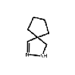 C1=NNCC12CCCC2